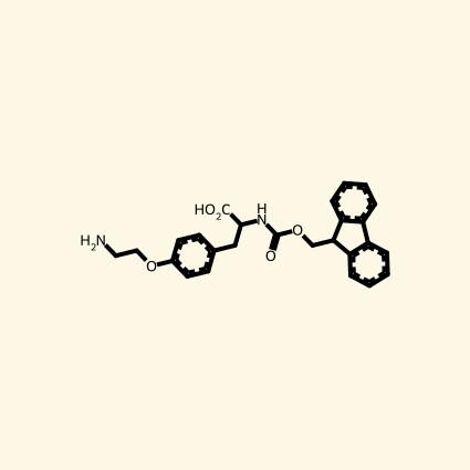 NCCOc1ccc(CC(NC(=O)OCC2c3ccccc3-c3ccccc32)C(=O)O)cc1